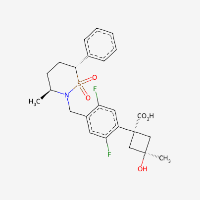 C[C@H]1CC[C@H](c2ccccc2)S(=O)(=O)N1Cc1cc(F)c([C@]2(C(=O)O)C[C@](C)(O)C2)cc1F